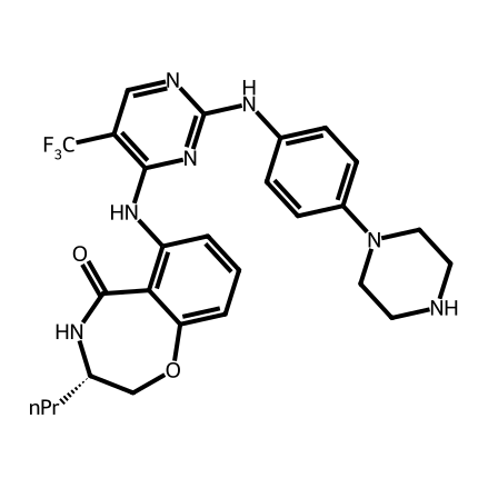 CCC[C@H]1COc2cccc(Nc3nc(Nc4ccc(N5CCNCC5)cc4)ncc3C(F)(F)F)c2C(=O)N1